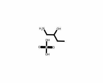 CCC(O)CN.O=S(=O)(O)O